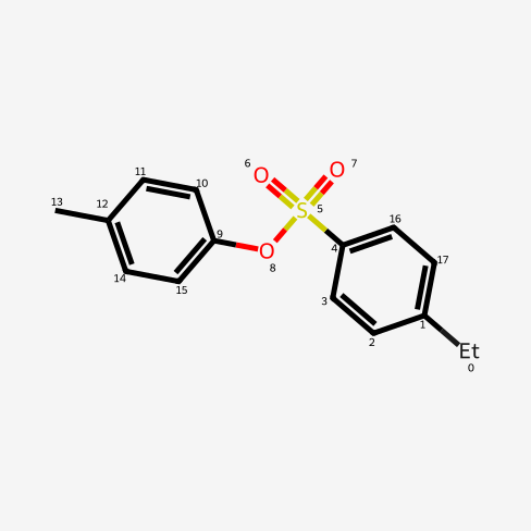 CCc1ccc(S(=O)(=O)Oc2ccc(C)cc2)cc1